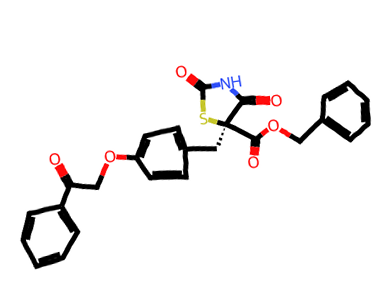 O=C1NC(=O)[C@@](Cc2ccc(OCC(=O)c3ccccc3)cc2)(C(=O)OCc2ccccc2)S1